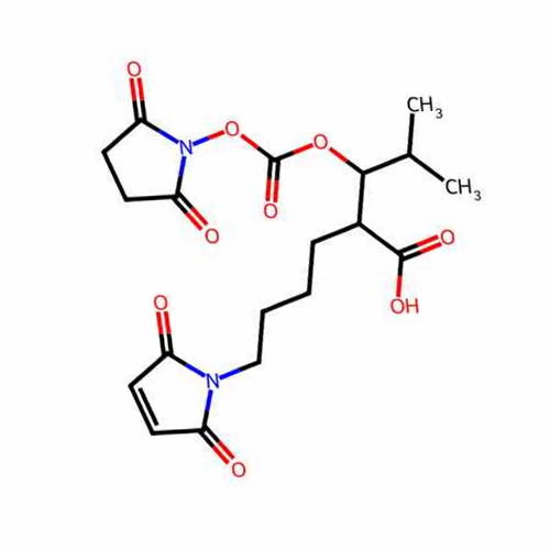 CC(C)C(OC(=O)ON1C(=O)CCC1=O)C(CCCCN1C(=O)C=CC1=O)C(=O)O